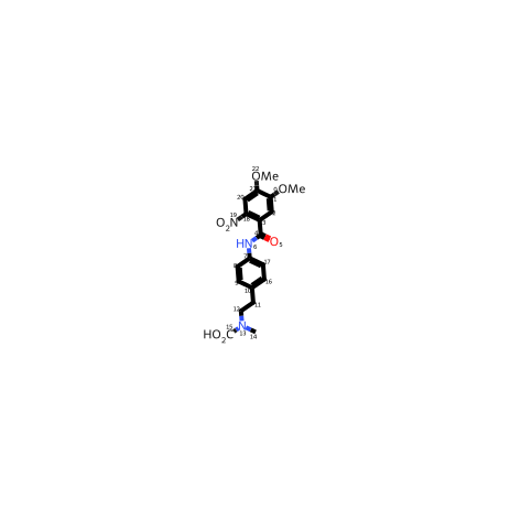 COc1cc(C(=O)Nc2ccc(CCN(C)C(=O)O)cc2)c([N+](=O)[O-])cc1OC